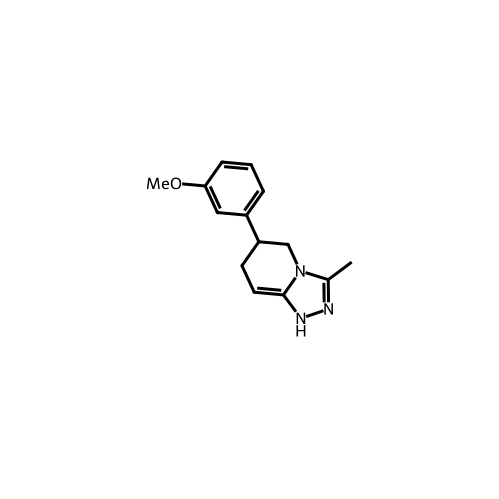 COc1cccc(C2CC=C3NN=C(C)N3C2)c1